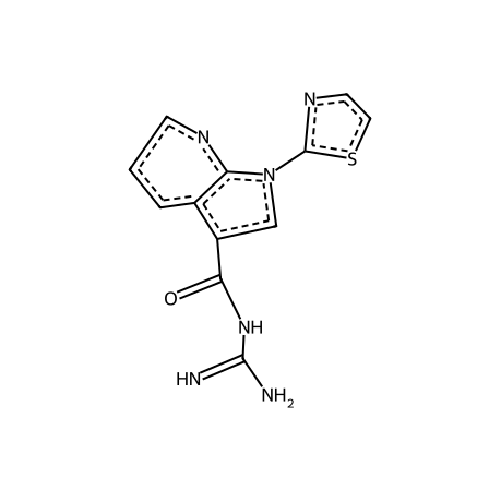 N=C(N)NC(=O)c1cn(-c2nccs2)c2ncccc12